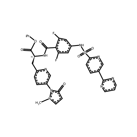 CC(C)OC(=O)[C@H](Cc1ccc(-n2c(=O)ccn2C)cn1)NC(=O)c1c(F)cc(NS(=O)(=O)c2ccc(-c3ncccn3)cn2)cc1F